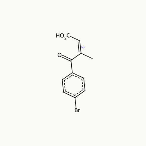 C/C(=C/C(=O)O)C(=O)c1ccc(Br)cc1